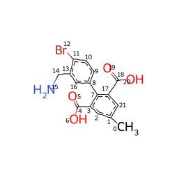 Cc1cc(C(=O)O)c(-c2ccc(Br)c(CN)c2)c(C(=O)O)c1